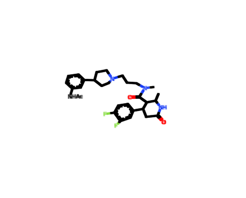 CC(=O)Nc1cccc(C2CCN(CCCN(C)C(=O)C3C(C)NC(=O)CC3c3ccc(F)c(F)c3)CC2)c1